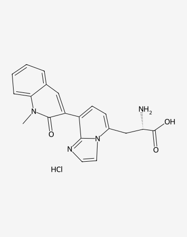 Cl.Cn1c(=O)c(-c2ccc(C[C@H](N)C(=O)O)n3ccnc23)cc2ccccc21